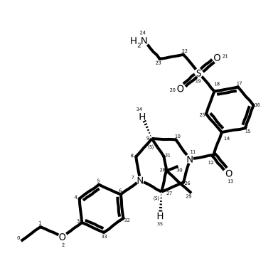 CCOc1ccc(N2C[C@H]3CN(C(=O)c4cccc(S(=O)(=O)CCN)c4)C[C@@H]2C(C)(C)C3)cc1